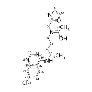 CC(CCCN(Cc1ncco1)C(C)O)Nc1ncnc2cc(Cl)ccc12